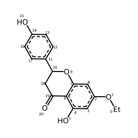 CCOc1cc(O)c2c(c1)OC(c1ccc(O)cc1)CC2=O